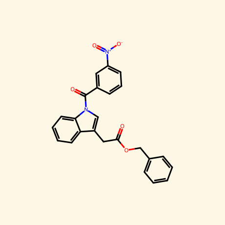 O=C(Cc1cn(C(=O)c2cccc([N+](=O)[O-])c2)c2ccccc12)OCc1ccccc1